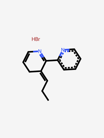 Br.CCC=C1CC=CN=C1c1ccccn1